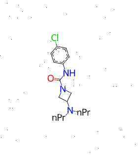 CCCN(CCC)C1CN(C(=O)Nc2ccc(Cl)cc2)C1